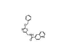 O=C(NCc1cnc(OCc2ccccc2)s1)c1ccc2ncccc2c1